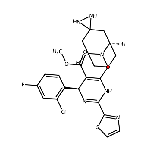 COC(=O)C1=C(CN2[C@@H]3COC[C@H]2CC2(C3)NN2)NC(c2nccs2)=N[C@H]1c1ccc(F)cc1Cl